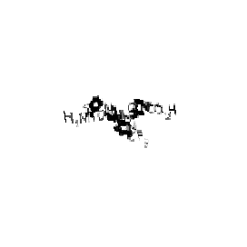 Nc1nc2c(Oc3cc(-c4ccc(C(F)(F)F)nc4NCC4CN(C(=O)O)CCO4)ncn3)cccc2s1